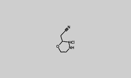 Cl.N#CCC1CNCCO1